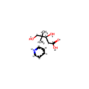 CC(C)(CO)C(O)CC(=O)O.c1ccncc1